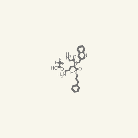 NCCCC(C(=O)NCCCc1ccccc1)N(Cc1cnc2ccccc2c1)C(=O)CN.O=C(O)C(F)(F)F